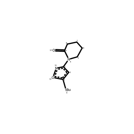 CC(C)(C)c1cc(N2CCCCC2=O)no1